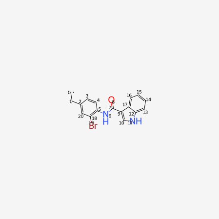 [CH2]Cc1ccc(NC(=O)c2c[nH]c3ccccc23)c(Br)c1